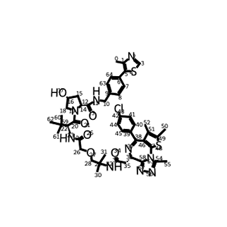 Cc1ncsc1-c1ccc(CNC(=O)[C@@H]2C[C@@H](O)CN2C(=O)[C@@H](NC(=O)COCC(C)(C)NC(=O)C[C@@H]2N=C(c3ccc(Cl)cc3)c3c(sc(C)c3C)-n3c(C)nnc32)C(C)(C)C)cc1